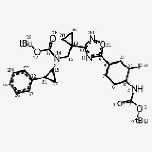 CC(C)(C)OC(=O)NC1CCC(c2nc(C3(CN(C(=O)OC(C)(C)C)[C@@H]4C[C@H]4c4ccccc4)CC3)no2)CC1F